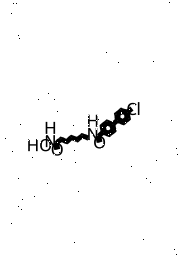 O=C(CCCCCCNC(=O)c1ccc(-c2ccc(Cl)cc2)cc1)NO